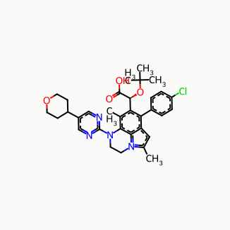 Cc1c([C@H](OC(C)(C)C)C(=O)O)c(-c2ccc(Cl)cc2)c2cc(C)n3c2c1N(c1ncc(C2CCOCC2)cn1)CC3